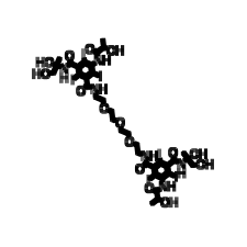 CC(O)C(=O)Nc1c(I)c(C(=O)NCCOCCOCCOCCNC(=O)c2c(I)c(NC(=O)C(C)O)c(I)c(C(=O)NC(C)(O)CO)c2I)c(I)c(C(=O)NC(C)(O)CO)c1I